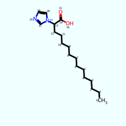 CCCCCCCCCCCCCC(C(=O)O)n1ccnc1